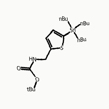 CCC[CH2][Sn]([CH2]CCC)([CH2]CCC)[c]1ccc(CNC(=O)OC(C)(C)C)s1